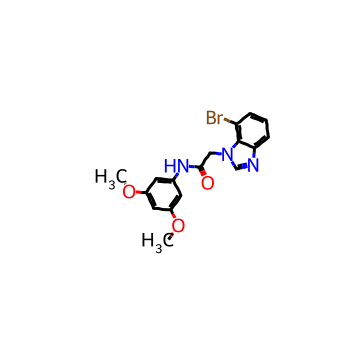 COc1cc(NC(=O)Cn2cnc3cccc(Br)c32)cc(OC)c1